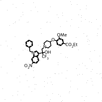 CCOC(=O)c1ccc(OC2CCN(CC(O)(c3cn(Cc4ccccc4)c4cc([N+](=O)[O-])ccc34)C(F)(F)F)CC2)c(OC)c1